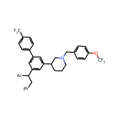 CC(=O)C(CC(C)C)c1cc(-c2ccc(C(F)(F)F)cc2)cc(C2CCCN(Cc3ccc(OC(F)(F)F)cc3)C2)c1